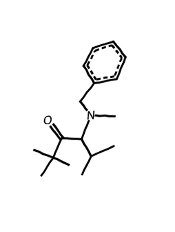 CC(C)C(C(=O)C(C)(C)C)N(C)Cc1ccccc1